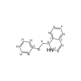 C1=Cc2ccccc2C(CCc2ccccc2)N1